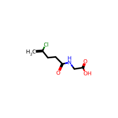 C=C(Cl)CCC(=O)NCC(=O)O